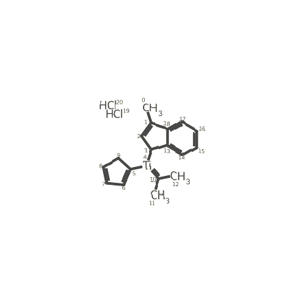 CC1=C[CH]([Ti]([C]2=CC=CC2)=[C](C)C)c2ccccc21.Cl.Cl